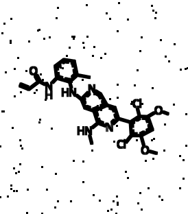 C=CC(=O)Nc1cccc(C)c1Nc1cc2c(NC)nc(-c3c(Cl)c(OC)cc(OC)c3Cl)cc2cn1